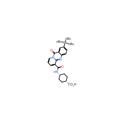 CCC[CH2][Sn]([CH2]CCC)([CH2]CCC)[c]1ccc2nc3c(C(=O)N[C@H]4CC[C@@H](C(=O)O)CC4)cccn3c(=O)c2c1